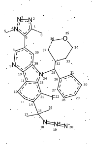 Cc1nnn(C)c1-c1cnc2c3ccc(C(C)(C)N=[N+]=[N-])c(F)c3n(C(c3ccccc3)C3CCOCC3)c2c1